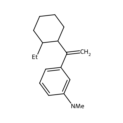 C=C(c1cccc(NC)c1)C1CCCCC1CC